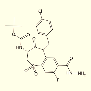 CC(C)(C)OC(=O)N[C@H]1CS(=O)(=O)c2cc(F)c(C(=O)NN)cc2C(Cc2ccc(Cl)cc2)C1=O